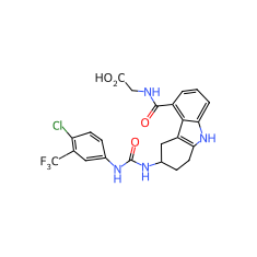 O=C(O)CNC(=O)c1cccc2[nH]c3c(c12)CC(NC(=O)Nc1ccc(Cl)c(C(F)(F)F)c1)CC3